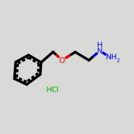 Cl.NNCCOCc1ccccc1